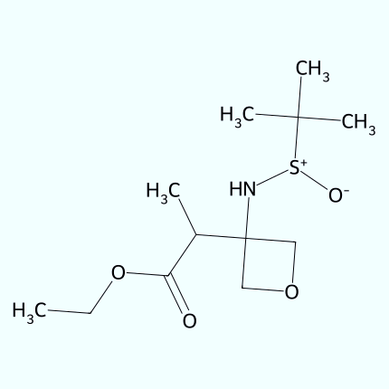 CCOC(=O)C(C)C1(N[S+]([O-])C(C)(C)C)COC1